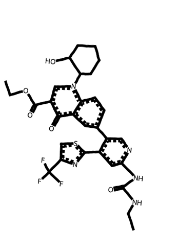 CCNC(=O)Nc1cc(-c2nc(C(F)(F)F)cs2)c(-c2ccc3c(c2)c(=O)c(C(=O)OCC)cn3C2CCCCC2O)cn1